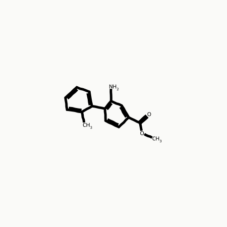 COC(=O)c1ccc(-c2ccccc2C)c(N)c1